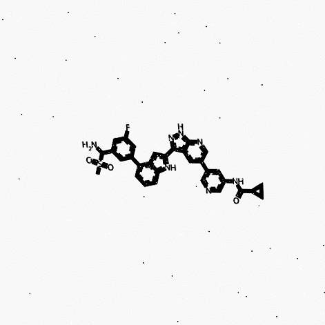 CS(=O)(=O)C(N)c1cc(F)cc(-c2cccc3[nH]c(-c4n[nH]c5ncc(-c6cncc(NC(=O)C7CC7)c6)cc45)cc23)c1